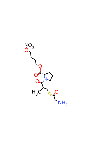 C[C@H](CSC(=O)CN)C(=O)N1CCC[C@H]1C(=O)OCCCCO[N+](=O)[O-]